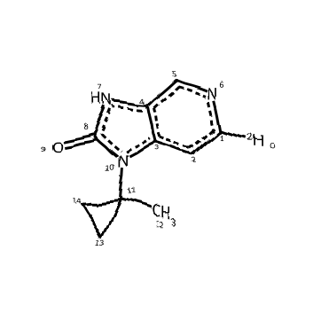 [2H]c1cc2c(cn1)[nH]c(=O)n2C1(C)CC1